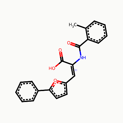 Cc1ccccc1C(=O)N/C(=C/c1ccc(-c2ccccc2)o1)C(=O)O